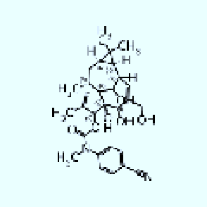 CC1=C[C@]23C(O)[C@@H](C=C(CO)[C@@H](O)[C@]2(O)[C@H]1OC(=O)N(C)c1ccc(C#N)cc1)[C@H]1[C@@H](C[C@H]3C)C1(C)C